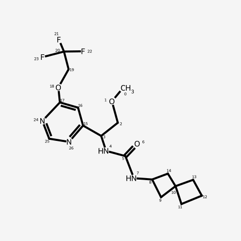 COCC(NC(=O)NC1CC2(CCC2)C1)c1cc(OCC(F)(F)F)ncn1